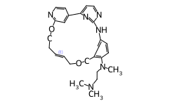 CN(C)CCN(C)c1ccc2cc1COC/C=C/CCOc1cc(ccn1)-c1ccnc(n1)N2